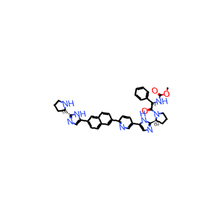 COC(=O)N[C@@H](C(=O)N1CCC[C@H]1c1ncc(-c2ccc(-c3ccc4cc(-c5cnc([C@@H]6CCCN6)[nH]5)ccc4c3)nc2)[nH]1)c1ccccc1